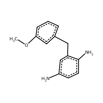 COc1cccc(Cc2cc(N)ccc2N)c1